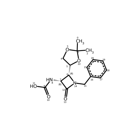 CC1(C)OCC([C@H]2[C@@H](NC(=O)O)C(=O)N2Cc2ccccc2)O1